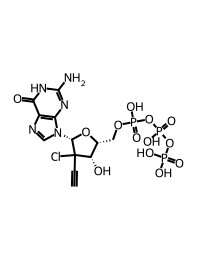 C#CC1(Cl)[C@@H](O)[C@@H](COP(=O)(O)OP(=O)(O)OP(=O)(O)O)O[C@H]1n1cnc2c(=O)[nH]c(N)nc21